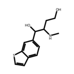 CNC(CCO)C(O)c1ccc2ccsc2c1